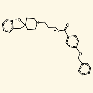 O=C(NCCCN1CCC(O)(Cc2ccccc2)CC1)c1ccc(OCc2ccccc2)cc1